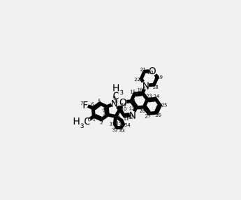 Cc1cc2c(cc1F)N(C)C1(C=Nc3c(cc(N4CCOCC4)c4ccccc34)O1)C21CCCCC1